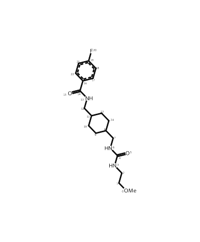 COCCNC(=O)NCC1CCC(CNC(=O)c2ccc(F)cc2)CC1